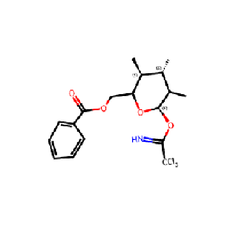 CC1[C@@H](OC(=N)C(Cl)(Cl)Cl)OC(COC(=O)c2ccccc2)[C@@H](C)[C@@H]1C